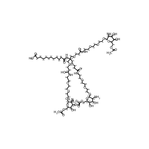 CC(=O)OCC1OC(OCCOCCOCCNC(=O)CCOCC(COCCC(=O)NCCOCCOCCOC2OC(COC(C)=O)C(O)C(O)C2N)(COCCC(O)NCCOCCOCCOC2OC(COC(C)=O)C(O)C(O)C2N)NC(=O)CCCCCCCCCCC(=O)O)C(N)C(O)C1O